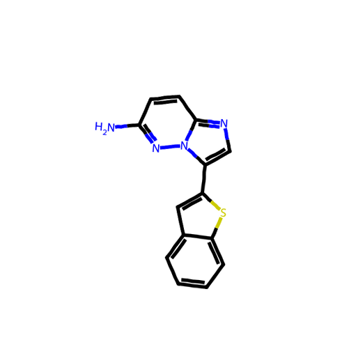 Nc1ccc2ncc(-c3cc4ccccc4s3)n2n1